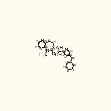 CN1C(=O)[C@@H](NC(O)c2ncc(Cc3ccccc3)o2)CCc2nccnc21